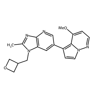 COc1ccnn2ccc(-c3cnc4nc(C)n(CC5COC5)c4c3)c12